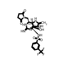 C=C1N[C@H]2[C@H](CN3C(=O)CCC3=O)NC(=N)N3C[C@H](NS(=O)(=O)c4cccc(C(F)(F)F)c4)C(O)(O)[C@]23N1